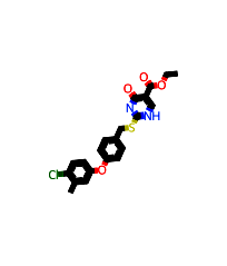 CCOC(=O)c1c[nH]c(SCc2ccc(Oc3ccc(Cl)c(C)c3)cc2)nc1=O